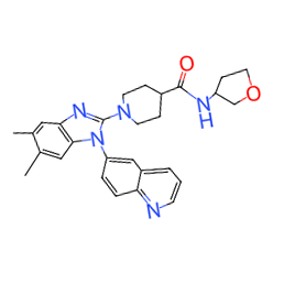 Cc1cc2nc(N3CCC(C(=O)NC4CCOC4)CC3)n(-c3ccc4ncccc4c3)c2cc1C